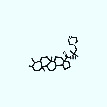 CC1CCC2(C)C(CCC3(C)C4CCC5(C(=O)NC(C)(C)CN6CCOCC6)CCCC5C4CCC23)C1C